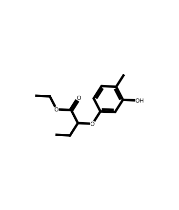 CCOC(=O)C(CC)Oc1ccc(C)c(O)c1